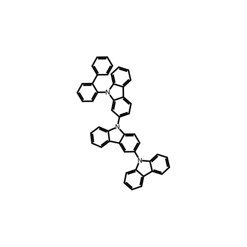 c1ccc(-c2ccccc2-n2c3ccccc3c3ccc(-n4c5ccccc5c5cc(-n6c7ccccc7c7ccccc76)ccc54)cc32)cc1